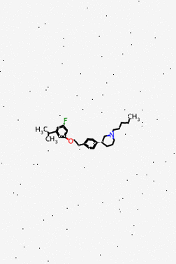 CCCCCN1CCC[C@H](c2ccc(CCOc3cc(F)cc(C(C)C)c3)cc2)C1